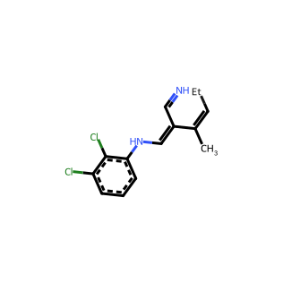 CC/C=C(C)\C(C=N)=C\Nc1cccc(Cl)c1Cl